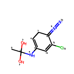 CC(O)(O)NC1=CCC(=[N+]=[N-])C(Cl)=C1